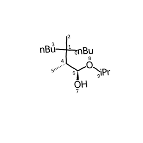 CCCCC(C)(CCCC)[C@@H](C)[C@H](O)OC(C)C